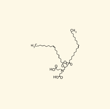 CCCCCCCC/C=C\CCCCCCCC(=O)OCC(CN(CCC(=O)O)CCC(=O)O)OC(=O)CCCCCCC/C=C\CCCCCCCC